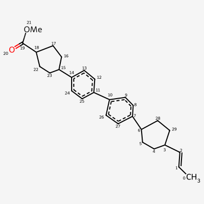 C/C=C/C1CCC(c2ccc(-c3ccc(C4CCC(C(=O)OC)CC4)cc3)cc2)CC1